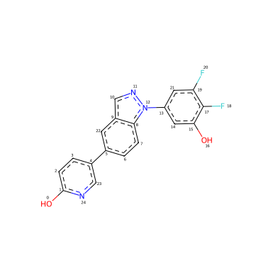 Oc1ccc(-c2ccc3c(cnn3-c3cc(O)c(F)c(F)c3)c2)cn1